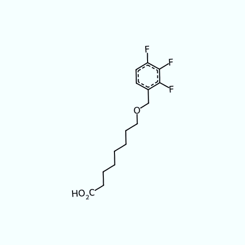 O=C(O)CCCCCCCOCc1ccc(F)c(F)c1F